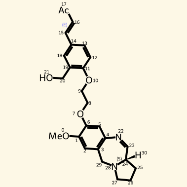 COc1cc2c(cc1OCCOc1ccc(/C=C/C(C)=O)cc1CO)N=C[C@@H]1CCCN1C2